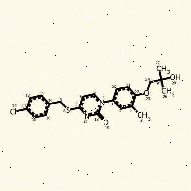 Cc1cc(-n2ccc(SCc3ccc(Cl)cc3)nc2=O)ccc1OCC(C)(C)O